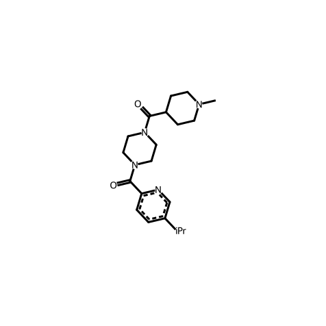 CC(C)c1ccc(C(=O)N2CCN(C(=O)C3CCN(C)CC3)CC2)nc1